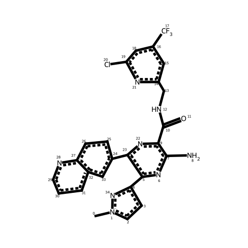 Cn1ccc(-c2nc(N)c(C(=O)NCc3cc(C(F)(F)F)cc(Cl)n3)nc2-c2ccc3ncccc3c2)n1